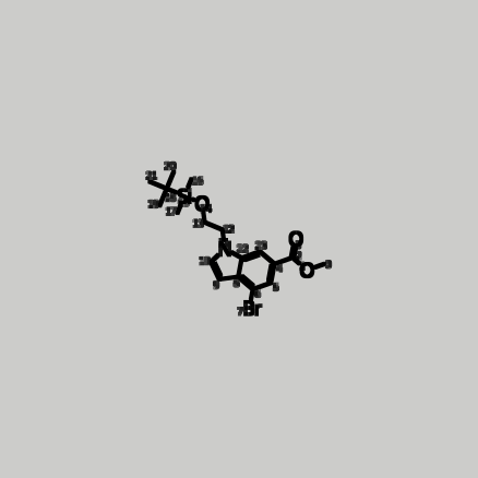 COC(=O)c1cc(Br)c2ccn(CCO[Si](C)(C)C(C)(C)C)c2c1